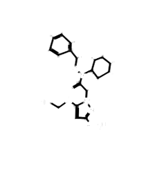 CC(C)(C)COc1cc(C(=O)O)nn1CC(=O)N(OCc1ccccc1)C1CCCCC1